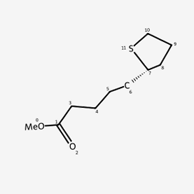 COC(=O)CCCC[C@H]1CCCS1